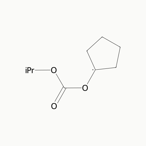 CC(C)OC(=O)O[C]1CCCC1